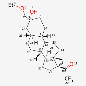 CCOC[C@@]1(O)CC[C@H]2[C@H](CC[C@@H]3[C@@H]2CC[C@]2(C)[C@@H](C(=O)C(F)(F)F)CC[C@@H]32)C1